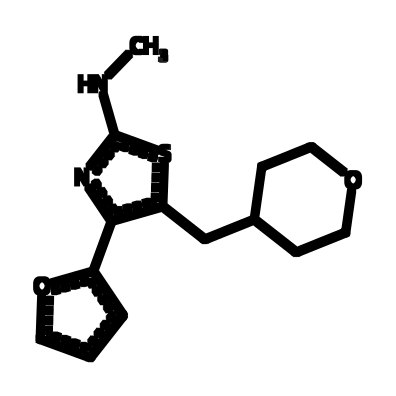 CNc1nc(-c2ccco2)c(CC2CCOCC2)s1